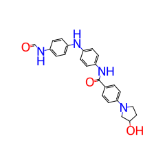 O=CNc1ccc(Nc2ccc(NC(=O)c3ccc(N4CCC(O)C4)cc3)cc2)cc1